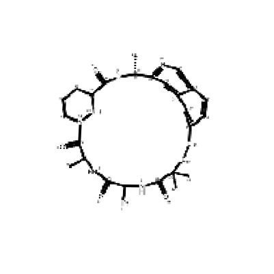 CC1NC(=O)C(C(C)C)NC(=O)C(C)(C)CCc2ccc3cnc(cc3c2)[C@@H](C)OC(=O)C2CCCN(N2)C1=O